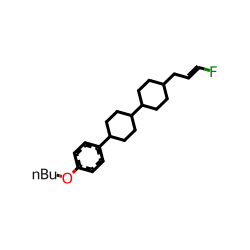 CCCCOc1ccc(C2CCC(C3CCC(C/C=C/F)CC3)CC2)cc1